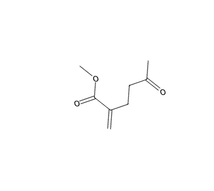 C=C(CCC(C)=O)C(=O)OC